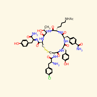 CC(=O)NCCCC[C@@H]1NC(=O)[C@@H](Cc2ccc(C(N)=O)cc2)NC(=O)[C@H](Cc2ccc(O)cc2)NC(=O)[C@H](NC(=O)[C@@H](N)Cc2ccc(Cl)cc2)CSSC[C@@H](C(=O)/N=C(\Cc2ccc(O)cc2)C(N)=O)NC(=O)[C@H]([C@@H](C)O)NC1=O